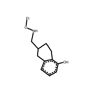 CCONCC1CCc2c(O)cccc2C1